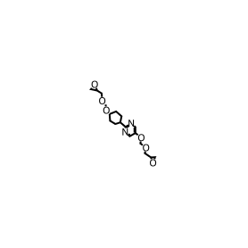 c1nc(C2CCC(OCOCC3CO3)CC2)ncc1OCOCC1CO1